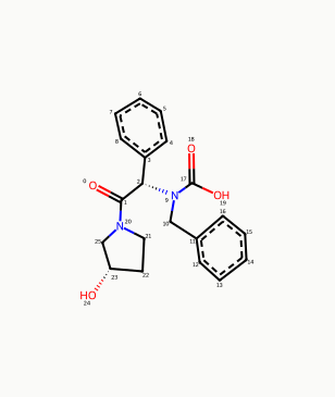 O=C([C@H](c1ccccc1)N(Cc1ccccc1)C(=O)O)N1CC[C@H](O)C1